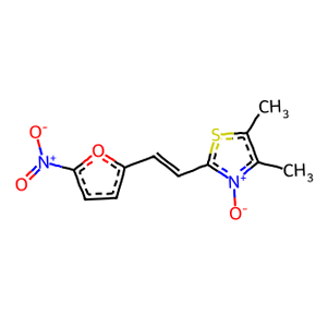 Cc1sc(C=Cc2ccc([N+](=O)[O-])o2)[n+]([O-])c1C